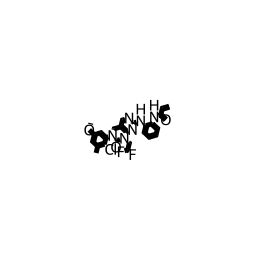 C=CC(=O)Nc1ccccc1Nc1ncc2c(n1)N(CC(F)F)C(=O)N(c1cc(OC)cc(C)c1Cl)C2